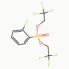 O=P(OCC(F)(F)F)(OCC(F)(F)F)c1ccccc1F